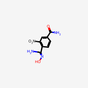 NC(=O)c1ccc(C(N)=NO)c([N+](=O)[O-])c1